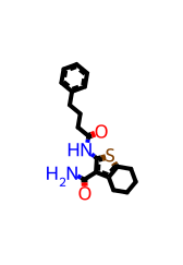 NC(=O)c1c(NC(=O)CCCc2ccccc2)sc2c1CCCC2